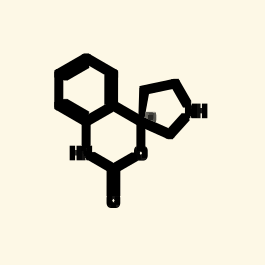 O=C1Nc2ccccc2[C@@]2(CCNC2)O1